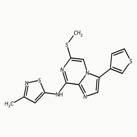 CSc1cn2c(-c3ccsc3)cnc2c(Nc2cc(C)ns2)n1